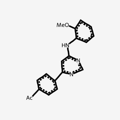 COc1ccccc1Nc1cc(-c2ccc(C(C)=O)cc2)ncn1